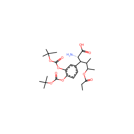 CCC(=O)OC(C)C(C)C(c1ccc(OC(=O)OC(C)(C)C)c(OC(=O)OC(C)(C)C)c1)[C@H](N)C(=O)O